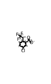 O=[N+]([O-])c1cc(Cl)ccc1CC(F)(F)F